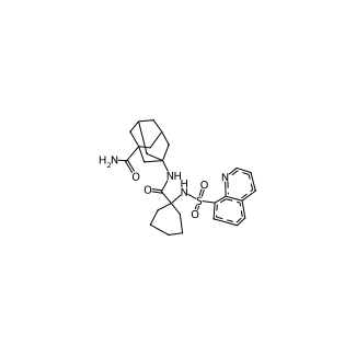 NC(=O)C12CC3CC(CC(NC(=O)C4(NS(=O)(=O)c5cccc6cccnc56)CCCCC4)(C3)C1)C2